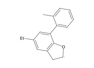 CCc1cc2c(c(-c3ccccc3C)c1)O[CH]C2